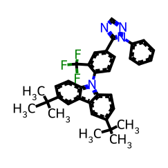 CC(C)(C)c1ccc2c(c1)c1cc(C(C)(C)C)ccc1n2-c1ccc(-c2ncnn2-c2ccccc2)cc1C(F)(F)F